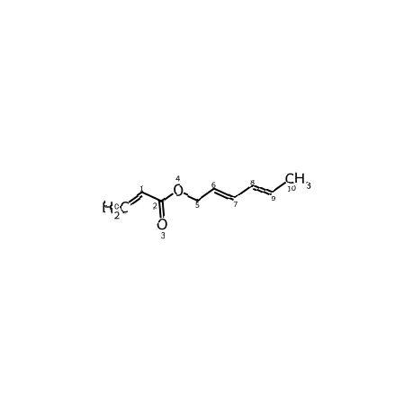 C=CC(=O)OCC=CC=CC